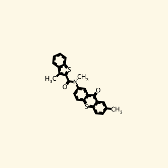 Cc1ccc2sc3ccc(N(C)C(=O)c4sc5ccccc5c4C)cc3c(=O)c2c1